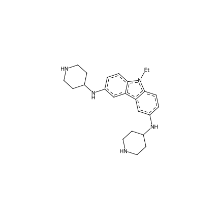 CCn1c2ccc(NC3CCNCC3)cc2c2cc(NC3CCNCC3)ccc21